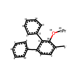 [CH2]c1ccc(-c2ccccc2)c(-c2ccccc2)c1OCCC